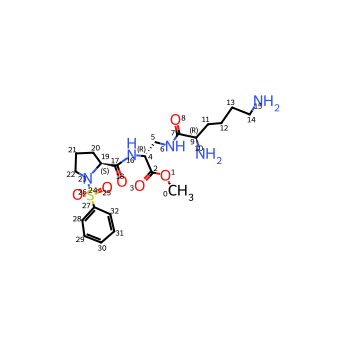 COC(=O)[C@@H](CNC(=O)[C@H](N)CCCCN)NC(=O)[C@@H]1CCCN1S(=O)(=O)c1ccccc1